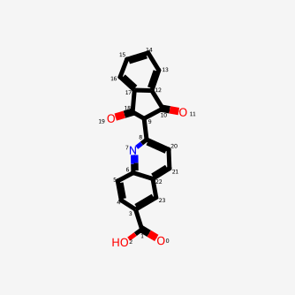 O=C(O)c1ccc2nc(C3C(=O)c4ccccc4C3=O)ccc2c1